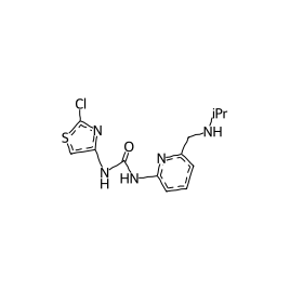 CC(C)NCc1cccc(NC(=O)Nc2csc(Cl)n2)n1